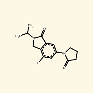 CC(C)N1Cc2c(F)cc(N3CCCC3=O)cc2C1=O